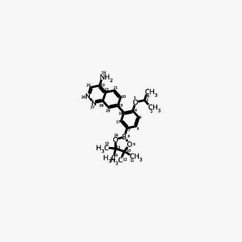 CC(C)Oc1ccc(B2OC(C)(C)C(C)(C)O2)cc1-c1ccc2c(N)cnnc2c1